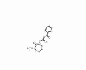 N[C@H]1CCCCN(CC(=O)OC(=O)c2ccccc2)C1=O